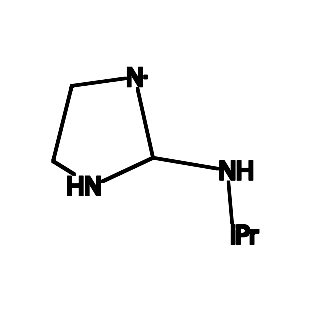 CC(C)NC1[N]CCN1